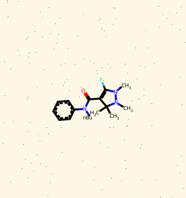 CCCCN(C(=O)C1=C(F)N(C)N(C)C1(C)C)c1ccccc1